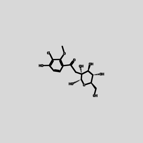 COc1c(C(=O)C[C@]2(O)[C@@H](O)O[C@H](CO)[C@@H](O)[C@@H]2O)ccc(O)c1Cl